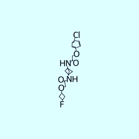 O=C(COc1ccc(Cl)cc1)NC12CC(NC(=O)COC3CC(F)C3)(C1)C2